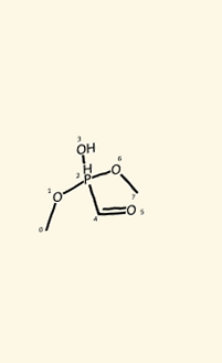 CO[PH](O)(C=O)OC